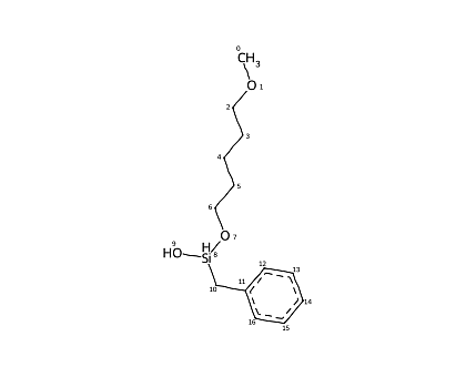 COCCCCCO[SiH](O)Cc1ccccc1